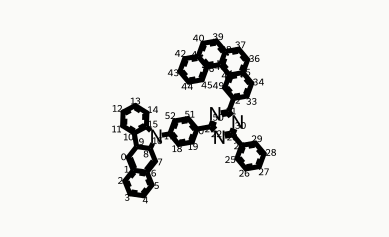 C1=c2ccccc2=CC2C1c1ccccc1N2c1ccc(-c2nc(-c3ccccc3)nc(-c3ccc4ccc5ccc6ccccc6c5c4c3)n2)cc1